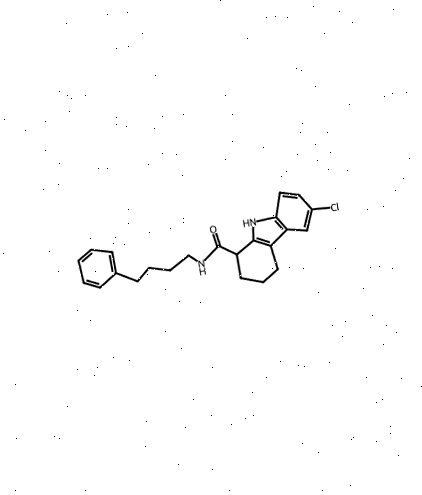 O=C(NCCCCc1ccccc1)C1CCCc2c1[nH]c1ccc(Cl)cc21